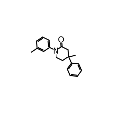 Cc1cccc(N2CCC(C)(c3ccccc3)CC2=O)c1